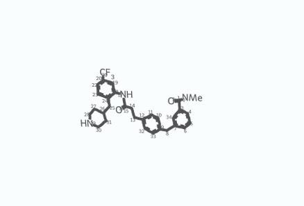 CNC(=O)c1cccc(Cc2ccc(CCC(=O)Nc3cc(C(F)(F)F)ccc3CC3CCNCC3)cc2)c1